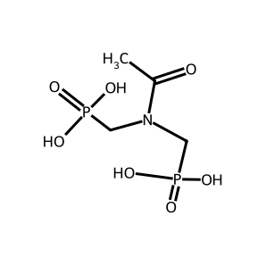 CC(=O)N(CP(=O)(O)O)CP(=O)(O)O